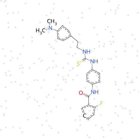 CN(C)c1ccc(CCNC(=S)Nc2ccc(NC(=O)c3ccccc3F)cc2)cc1